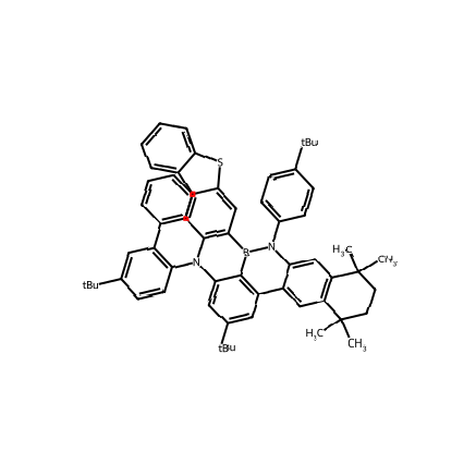 CC(C)(C)c1ccc(N2B3c4cc5sc6ccccc6c5cc4N(c4ccc(C(C)(C)C)cc4-c4ccccc4)c4cc(C(C)(C)C)cc(c43)-c3cc4c(cc32)C(C)(C)CCC4(C)C)cc1